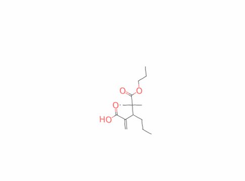 [CH2]C(C)(C(=O)OCCC)C(CCC)C(=C)C(=O)O